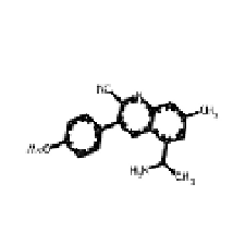 COc1ccc(-c2cc3c(C(C)N)cc(C)cc3nc2C#N)cc1